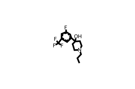 CCCN1CCC(O)(c2cc(F)cc(C(F)(F)F)c2)CC1